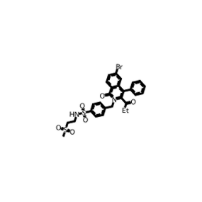 CCC(=O)c1c(-c2ccccc2)c2cc(Br)ccc2c(=O)n1Cc1ccc(S(=O)(=O)NCCS(C)(=O)=O)cc1